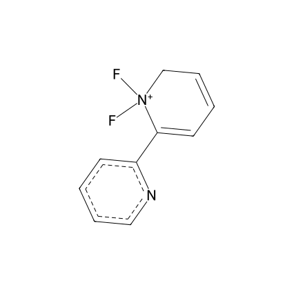 F[N+]1(F)CC=CC=C1c1ccccn1